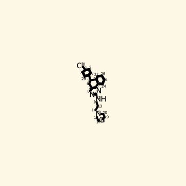 Clc1ccc(C2Cc3cnc(NCCCN4CCOCC4)nc3-c3ccccc32)cc1